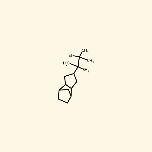 BC(B)(C1CC2C3CCC(C3)C2C1)C(C)(C)CC